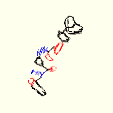 O=C(COc1ccc(C23CC4CC(CC(C4)C2)C3)cc1)Nc1cccc(C(=O)NCc2ccco2)c1